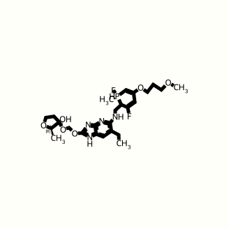 CCc1cc2[nH]c(OCO[C@]3(O)CCO[C@@H]3C)nc2nc1NCC1C(F)=CC(OCCCOC)=C[PH]1(C)F